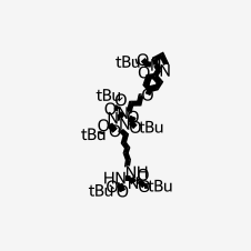 CC(C)(C)OC(=O)/N=C(\NCCCCCCCN(C(=O)OC(C)(C)C)/C(=N\C(=O)OC(C)(C)C)N(CCCCOc1ccc(C2=NCCCN2C(=O)OC(C)(C)C)cc1)C(=O)OC(C)(C)C)NC(=O)OC(C)(C)C